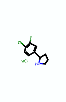 Cl.Fc1cc(C2CCCN2)ccc1Cl